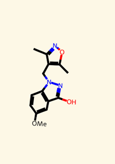 COc1ccc2c(c1)c(O)nn2Cc1c(C)noc1C